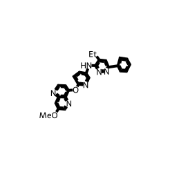 CCc1cc(-c2ccccc2)nnc1Nc1ccc(Oc2ccnc3cc(OC)cnc23)nc1